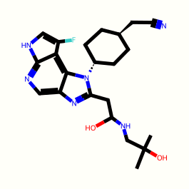 CC(C)(O)CNC(O)Cc1nc2cnc3[nH]cc(F)c3c2n1[C@H]1CC[C@H](CC#N)CC1